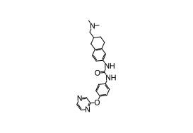 CN(C)CC1CCc2cc(NC(=O)Nc3ccc(Oc4cnccn4)cc3)ccc2C1